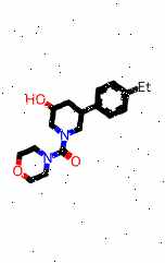 CCc1ccc(C2CC(O)CN(C(=O)N3CCOCC3)C2)cc1